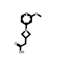 COc1cc(N2CC(CC(=O)O)C2)ccn1